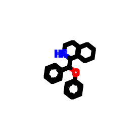 c1ccc(OC(c2ccccc2)C2NCCC3=C2CCCC3)cc1